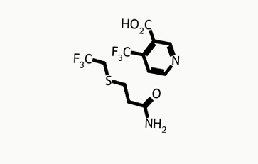 NC(=O)CCSCC(F)(F)F.O=C(O)c1cnccc1C(F)(F)F